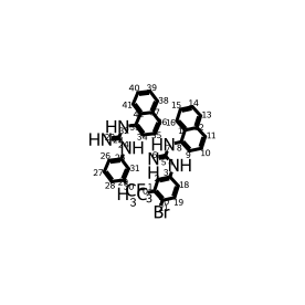 Cc1cc(NC(=N)Nc2cccc3ccccc23)ccc1Br.N=C(Nc1cccc(C(F)(F)F)c1)Nc1cccc2ccccc12